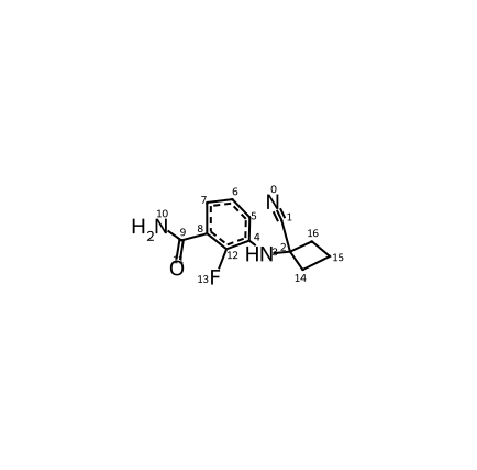 N#CC1(Nc2cccc(C(N)=O)c2F)CCC1